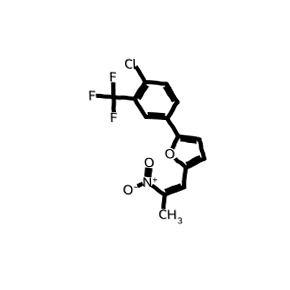 CC(=Cc1ccc(-c2ccc(Cl)c(C(F)(F)F)c2)o1)[N+](=O)[O-]